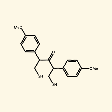 COc1ccc(C(CS)C(=O)C(CS)c2ccc(OC)cc2)cc1